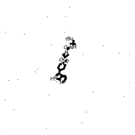 CC(C)(C)CC(C)(C)NC(=O)N1CC(S(=O)(=O)N2CCC(c3c[nH]c4ncccc34)CC2)C1